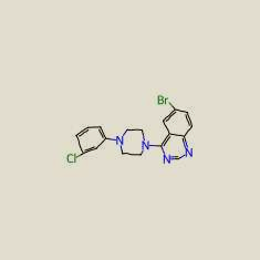 Clc1cccc(N2CCN(c3ncnc4ccc(Br)cc34)CC2)c1